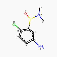 CN(C)[S+]([O-])c1cc(N)ccc1Cl